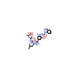 COc1cc(CC(=O)NC(CC(C)C)c2nc(CC(C)C(=O)O)co2)ccc1NC(=O)Nc1ccccc1C